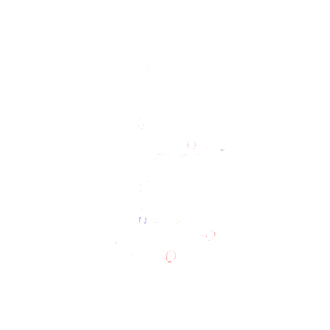 CC(C)(C)N1C2C(OCI)C3CC(C2O3)S1(=O)=O